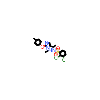 CCn1c(C(C)NS(=O)(=O)c2cccc(Cl)c2Cl)cnc1Oc1ccc(C)cc1